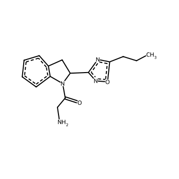 CCCc1nc(C2Cc3ccccc3N2C(=O)CN)no1